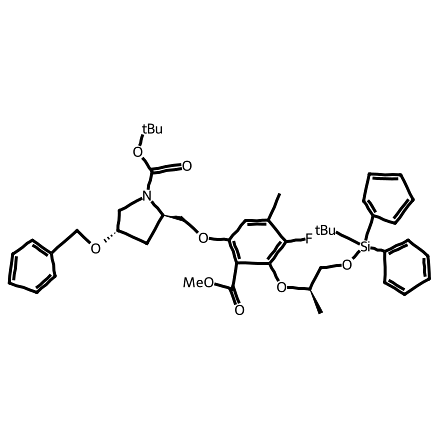 COC(=O)c1c(OC[C@H]2C[C@H](OCc3ccccc3)CN2C(=O)OC(C)(C)C)cc(C)c(F)c1O[C@H](C)CO[Si](c1ccccc1)(c1ccccc1)C(C)(C)C